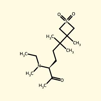 CCN(C)[C@@H](CCC(C)(C)C1(C)CS(=O)(=O)C1)C(C)=O